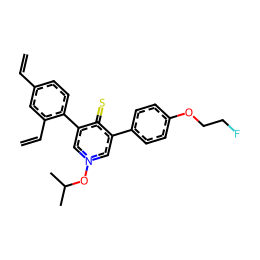 C=Cc1ccc(-c2cn(OC(C)C)cc(-c3ccc(OCCF)cc3)c2=S)c(C=C)c1